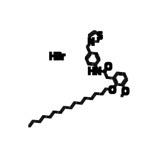 Br.CCCCCCCCCCCCCCCCOc1c(CC(=O)Nc2ccc(CN3C=CSC3)cc2)cccc1OC